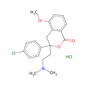 COc1cccc2c1CC(CCN(C)C)(c1ccc(Cl)cc1)OC2=O.Cl